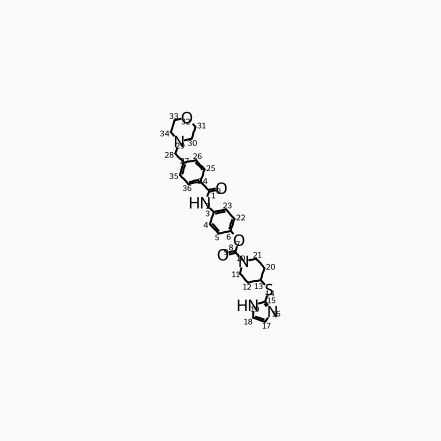 O=C(Nc1ccc(OC(=O)N2CCC(Sc3ncc[nH]3)CC2)cc1)c1ccc(CN2CCOCC2)cc1